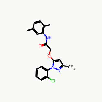 Cc1ccc(C)c(NC(=O)COc2cc(C(F)(F)F)nn2-c2ccccc2Cl)c1